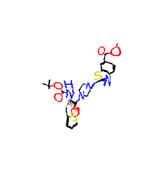 COC(=O)c1ccc2nc(N3CCN(C(=O)[C@H](Cc4cccs4)NC(=O)OC(C)(C)C)CC3)sc2c1